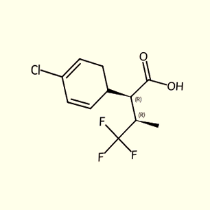 C[C@H]([C@H](C(=O)O)C1C=CC(Cl)=CC1)C(F)(F)F